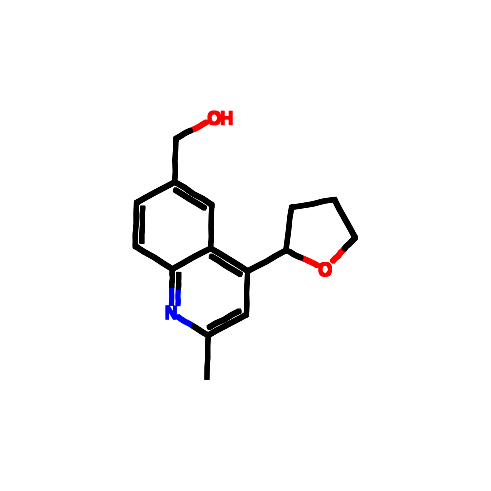 Cc1cc(C2CCCO2)c2cc(CO)ccc2n1